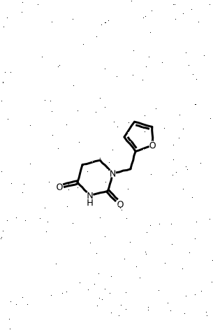 O=C1C[CH]N(Cc2ccco2)C(=O)N1